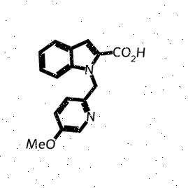 COc1ccc(Cn2c(C(=O)O)cc3ccccc32)nc1